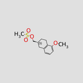 COc1cccc2c1CC[C@H](COS(C)(=O)=O)C2